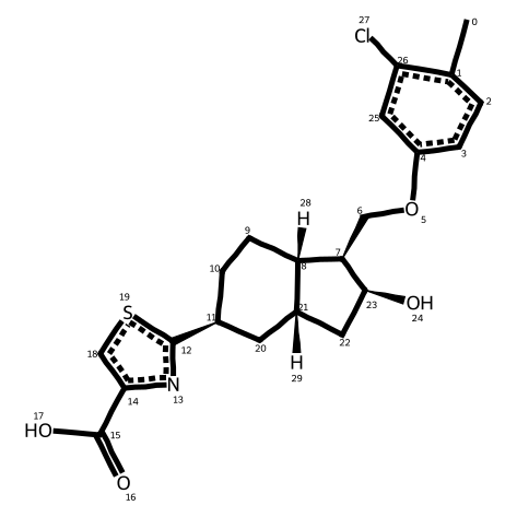 Cc1ccc(OC[C@@H]2[C@H]3CC[C@H](c4nc(C(=O)O)cs4)C[C@H]3C[C@@H]2O)cc1Cl